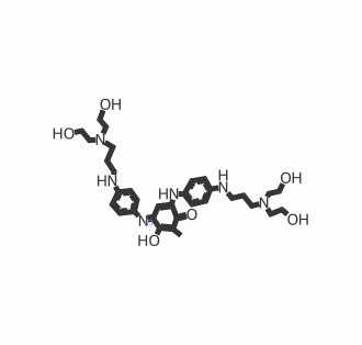 CC1=C(O)/C(=N/c2ccc(NCCCN(CCO)CCO)cc2)C=C(Nc2ccc(NCCCN(CCO)CCO)cc2)C1=O